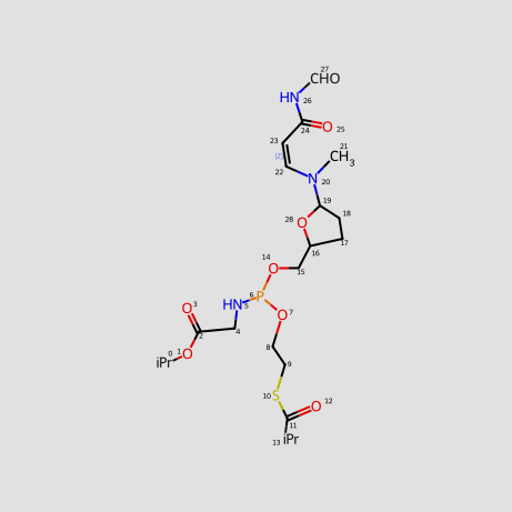 CC(C)OC(=O)CNP(OCCSC(=O)C(C)C)OCC1CCC(N(C)/C=C\C(=O)NC=O)O1